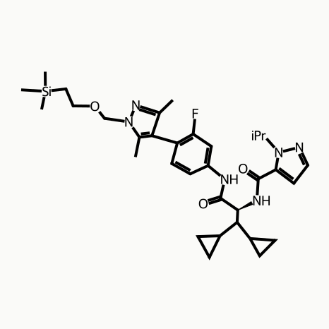 Cc1nn(COCC[Si](C)(C)C)c(C)c1-c1ccc(NC(=O)[C@@H](NC(=O)c2ccnn2C(C)C)C(C2CC2)C2CC2)cc1F